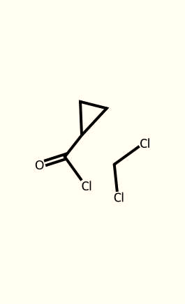 ClCCl.O=C(Cl)C1CC1